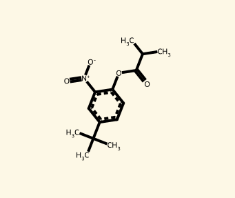 CC(C)C(=O)Oc1ccc(C(C)(C)C)cc1[N+](=O)[O-]